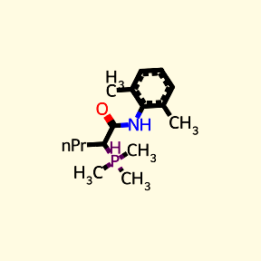 CCCC(C(=O)Nc1c(C)cccc1C)[PH](C)(C)C